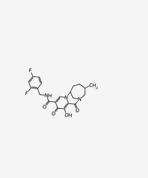 CC1CCC2CN(C1)C(=O)c1c(O)c(=O)c(C(=O)NCc3ccc(F)cc3F)cn12